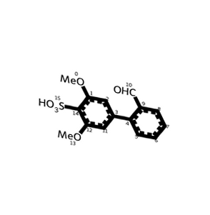 COc1cc(-c2ccccc2C=O)cc(OC)c1S(=O)(=O)O